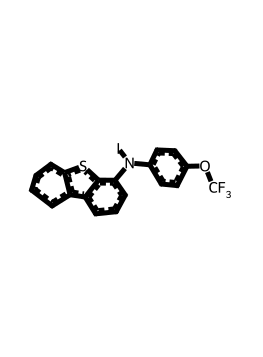 FC(F)(F)Oc1ccc(N(I)c2cccc3c2sc2ccccc23)cc1